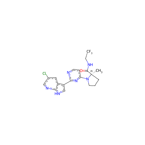 C[C@]1(C(=O)NCC(F)(F)F)CCCN1c1ccnc(-c2c[nH]c3ncc(Cl)cc23)n1